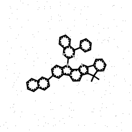 CC1(C)c2ccccc2-c2sc3c(ccc4c5cc(-c6ccc7ccccc7c6)ccc5n(-c5nc(-c6ccccc6)c6ccccc6n5)c43)c21